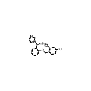 CCCCCCC(c1ccccc1OCc1ccc(Cl)cc1Cl)n1ccnc1